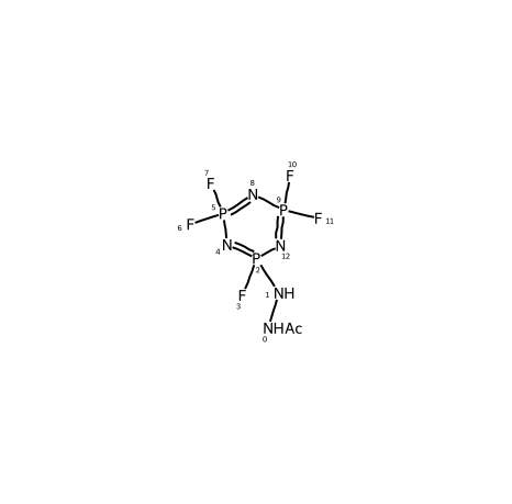 CC(=O)NNP1(F)=NP(F)(F)=NP(F)(F)=N1